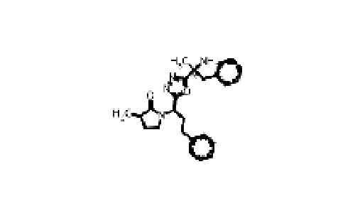 CC1CCN(C(CCc2ccccc2)c2nnc([C@](C)(N)Cc3ccccc3)o2)C1=O